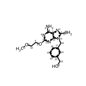 Bc1nc2c(N)nc(OCCOC)nc2n1Cc1cccc(CO)c1